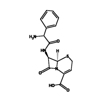 NC(C(=O)N[C@@H]1C(=O)N2C(C(=O)O)=CCS[C@H]12)c1ccccc1